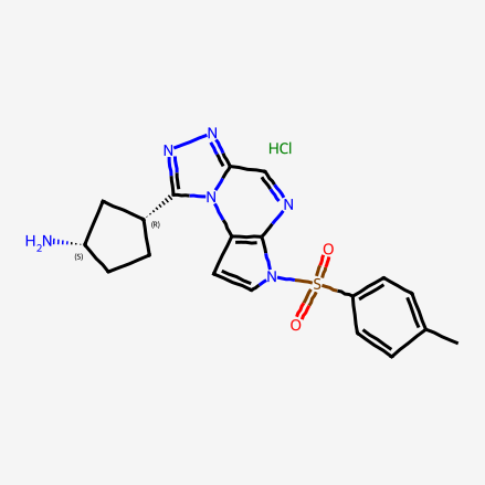 Cc1ccc(S(=O)(=O)n2ccc3c2ncc2nnc([C@@H]4CC[C@H](N)C4)n23)cc1.Cl